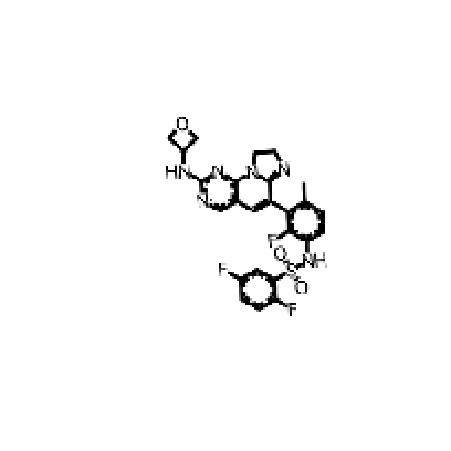 Cc1ccc(NS(=O)(=O)c2cc(F)ccc2F)c(F)c1C1=Cc2cnc(NC3COC3)nc2N2CCN=C12